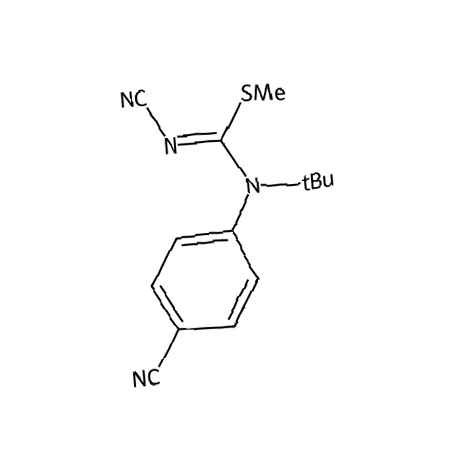 CSC(=NC#N)N(c1ccc(C#N)cc1)C(C)(C)C